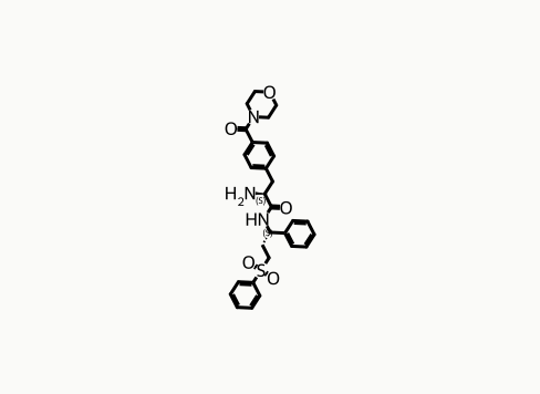 N[C@@H](Cc1ccc(C(=O)N2CCOCC2)cc1)C(=O)N[C@@H](CCS(=O)(=O)c1ccccc1)c1ccccc1